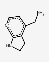 NCc1ccnc2c1CCN2